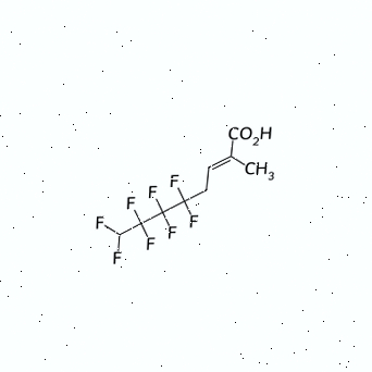 C/C(=C\CC(F)(F)C(F)(F)C(F)(F)C(F)F)C(=O)O